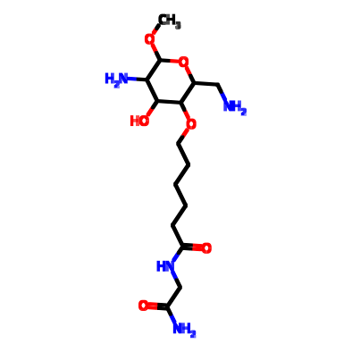 COC1OC(CN)C(OCCCCCC(=O)NCC(N)=O)C(O)C1N